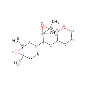 CC12CCC(C3CC4CCCOC4C4(C)OC34C)CC1(C)O2